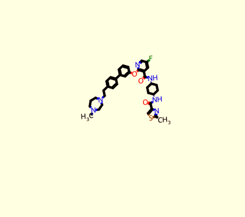 Cc1nc(C(=O)N[C@H]2CC[C@@H](NC(=O)c3cc(F)cnc3Oc3cccc(-c4ccc(CCN5CCCN(C)CC5)cc4)c3)CC2)cs1